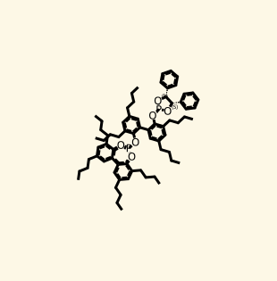 CCCCc1cc(CCCC)c(OP2O[C@H](c3ccccc3)[C@H](c3ccccc3)O2)c(-c2cc(CCCC)cc(CCCC)c2Op2oc3c(CCCC)cc(CCCC)cc3c3cc(CCCC)cc(CCCC)c3o2)c1